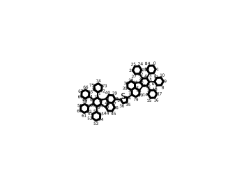 c1ccc(-c2c(-c3ccccc3)c(-c3ccccc3)c3c(c2-c2ccccc2)-c2cccc4c(-c5ccc(-c6ccc7c8c(cccc68)-c6c(-c8ccccc8)c(-c8ccccc8)c(-c8ccccc8)c(-c8ccccc8)c6-7)s5)ccc-3c24)cc1